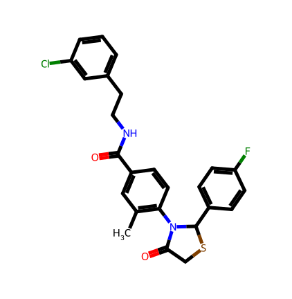 Cc1cc(C(=O)NCCc2cccc(Cl)c2)ccc1N1C(=O)CSC1c1ccc(F)cc1